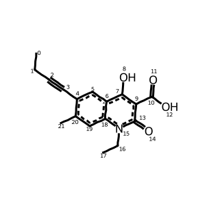 CCC#Cc1cc2c(O)c(C(=O)O)c(=O)n(CC)c2cc1C